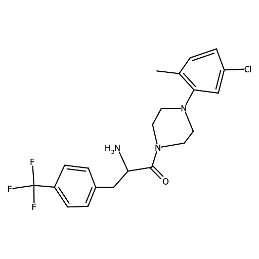 Cc1ccc(Cl)cc1N1CCN(C(=O)C(N)Cc2ccc(C(F)(F)F)cc2)CC1